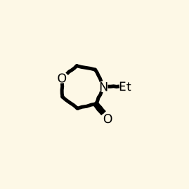 CCN1CCOCCC1=O